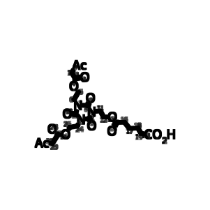 CC(=O)CC(=O)OCCn1c(=O)n(CCOC(=O)CCCCC(=O)O)c(=O)n(CCOC(=O)CC(C)=O)c1=O